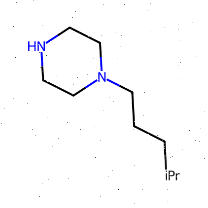 CC(C)CCCN1CCNCC1